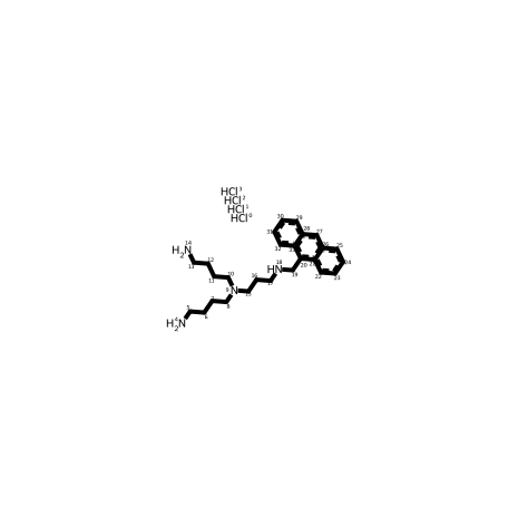 Cl.Cl.Cl.Cl.NCCCCN(CCCCN)CCCNCc1c2ccccc2cc2ccccc12